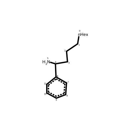 CCCCCCCCCC(N)c1[c]cccc1